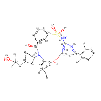 Cc1cccc(C)c1-c1cc2nc(n1)NS(=O)(=O)c1cccc(c1)C(=O)N(C1CC(CC(C)(C)O)C1)[C@H](CC(C)(C)C)CO2